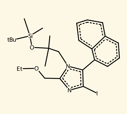 CCOCc1nc(I)c(-c2cccc3ccccc23)n1CC(C)(C)O[Si](C)(C)C(C)(C)C